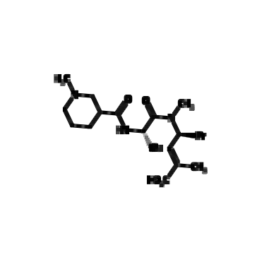 C/C(=C\[C@H](C(C)C)N(C)C(=O)[C@@H](NC(=O)C1CCCN(C)C1)C(C)(C)C)C(=O)O